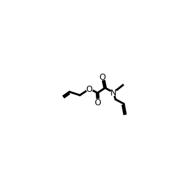 C=CCOC(=O)C(=O)N(C)CC=C